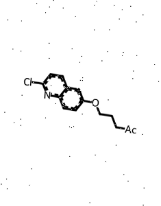 CC(=O)CCCOc1ccc2nc(Cl)ccc2c1